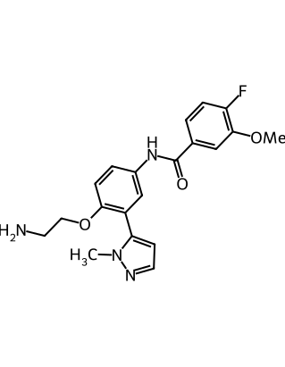 COc1cc(C(=O)Nc2ccc(OCCN)c(-c3ccnn3C)c2)ccc1F